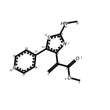 C=C(C(=O)OC)c1nc(NC)sc1-c1ccncc1